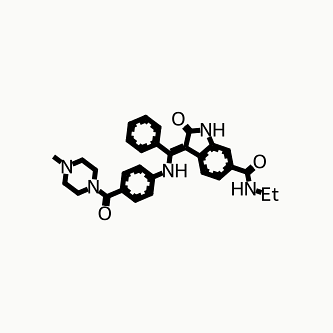 CCNC(=O)c1ccc2c(c1)NC(=O)C2=C(Nc1ccc(C(=O)N2CCN(C)CC2)cc1)c1ccccc1